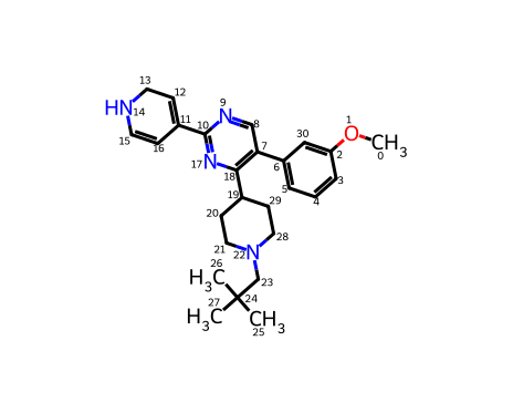 COc1cccc(-c2cnc(C3=CCNC=C3)nc2C2CCN(CC(C)(C)C)CC2)c1